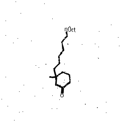 CCCCCCCCCCCCCCC1(C)CCCC(=O)C1